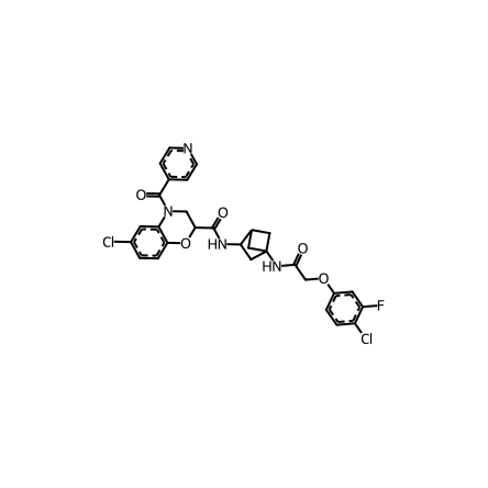 O=C(COc1ccc(Cl)c(F)c1)NC12CC(C1)C(NC(=O)C1CN(C(=O)c3ccncc3)c3cc(Cl)ccc3O1)C2